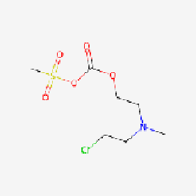 CN(CCCl)CCOC(=O)OS(C)(=O)=O